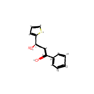 O=C(C[C@@H](O)c1cccs1)c1ccccc1